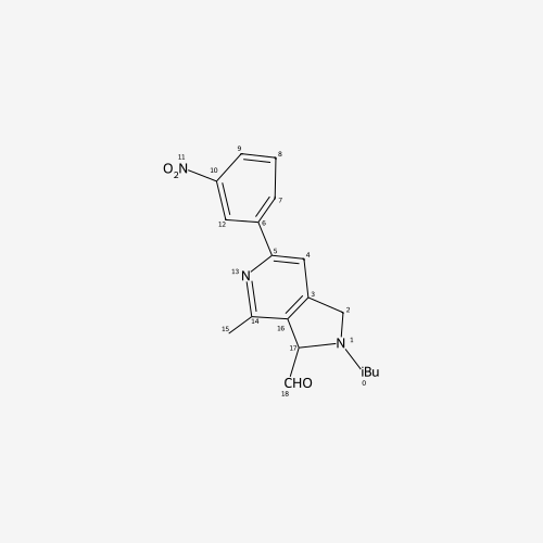 CCC(C)N1Cc2cc(-c3cccc([N+](=O)[O-])c3)nc(C)c2C1C=O